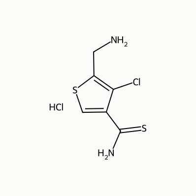 Cl.NCc1scc(C(N)=S)c1Cl